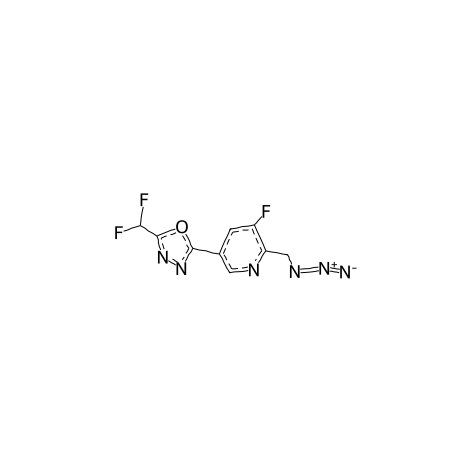 [N-]=[N+]=NCc1ncc(-c2nnc(C(F)F)o2)cc1F